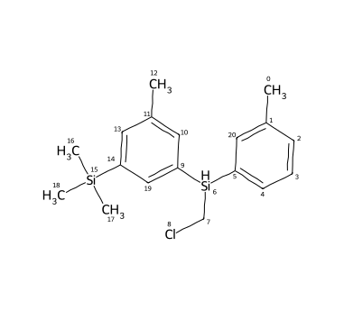 Cc1cccc([SiH](CCl)c2cc(C)cc([Si](C)(C)C)c2)c1